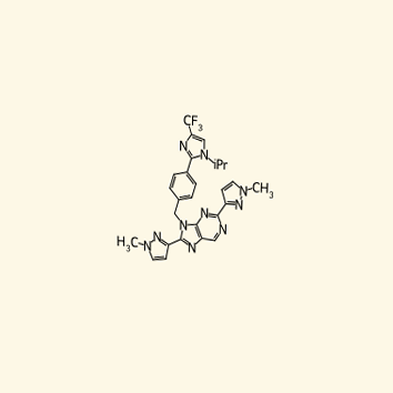 CC(C)n1cc(C(F)(F)F)nc1-c1ccc(Cn2c(-c3ccn(C)n3)nc3cnc(-c4ccn(C)n4)nc32)cc1